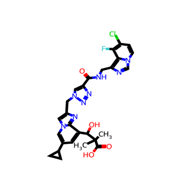 CC(C)(C(=O)O)C(O)c1cc(C2CC2)cn2cc(Cn3cc(C(=O)NCc4ncn5ccc(Cl)c(F)c45)nn3)nc12